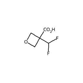 O=C(O)C1(C(F)F)COC1